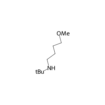 COCCCCNC(C)(C)C